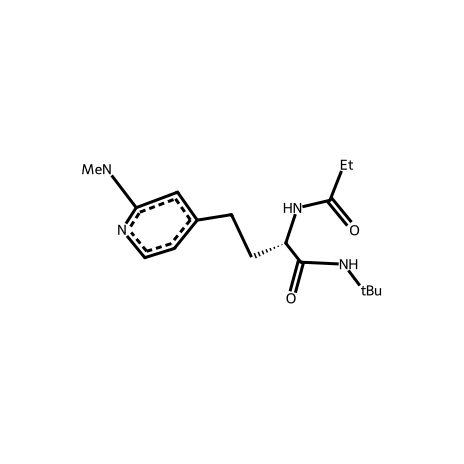 CCC(=O)N[C@@H](CCc1ccnc(NC)c1)C(=O)NC(C)(C)C